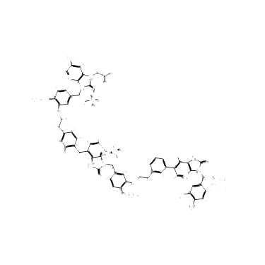 CCOc1cc([C@@H](CS(C)(=O)=O)n2c(=O)[nH]c3c(C)c(-c4cccc(CCOc5cc([C@@H](CS(C)(=O)=O)n6c(=O)[nH]c7c(Cc8ccc(CCOc9cc([C@@H](CS(C)(=O)=O)n%10c(=O)n(CC(F)F)c%11cc(F)cnc%11%10)ccc9OC)cc8F)ccnc76)ccc5OC)c4)cnc32)ccc1OC